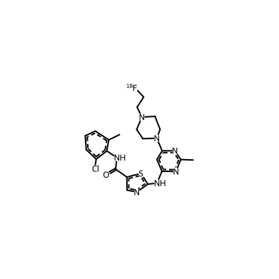 Cc1nc(Nc2ncc(C(=O)Nc3c(C)cccc3Cl)s2)cc(N2CCN(CC[18F])CC2)n1